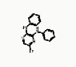 CCc1cnc(Nc2ccccc2)c(Nc2ccccc2)n1